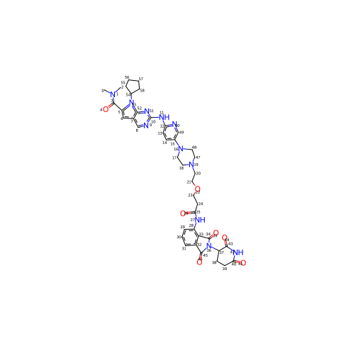 CN(C)C(=O)c1cc2cnc(Nc3ccc(N4CCN(CCOCCC(=O)Nc5cccc6c5C(=O)N(C5CCC(=O)NC5=O)C6=O)CC4)cn3)nc2n1C1CCCC1